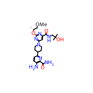 COC[C@@H](C)Oc1nc(C(=O)NCC(C)(C)O)cc(N2CCC(c3ccc(N)c(C(N)=O)n3)CC2)n1